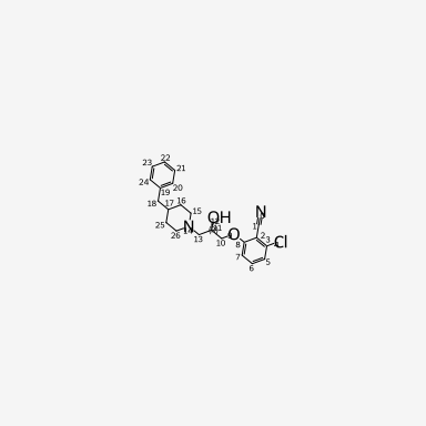 N#Cc1c(Cl)cccc1OC[C@H](O)CN1CCC(Cc2ccccc2)CC1